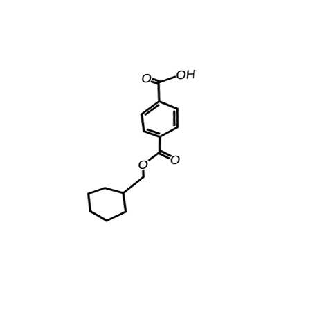 O=C(O)c1ccc(C(=O)OCC2CCCCC2)cc1